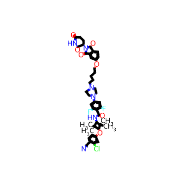 CC1(C)C(NC(=O)c2c(F)cc(N3CCN(CCCCCOc4ccc5c(c4)C(=O)N(C4CCC(=O)NC4=O)C5=O)CC3)cc2F)C(C)(C)C1Oc1ccc(C#N)c(Cl)c1